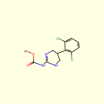 CC(C)OC(=O)NC1=NCC(c2c(Cl)cccc2Cl)CN1